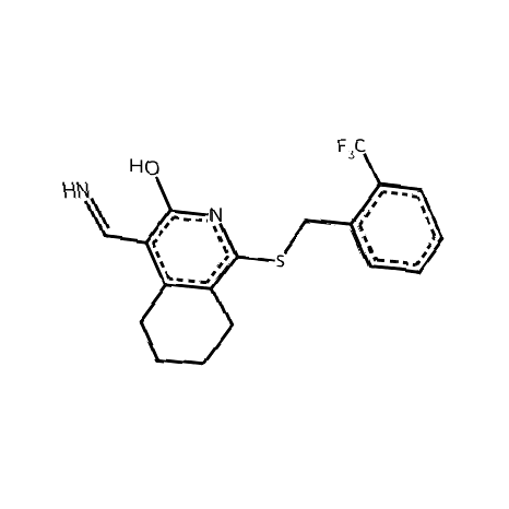 N=Cc1c(O)nc(SCc2ccccc2C(F)(F)F)c2c1CCCC2